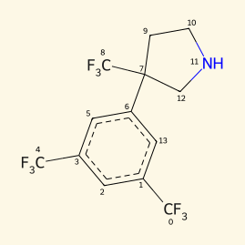 FC(F)(F)c1cc(C(F)(F)F)cc(C2(C(F)(F)F)CCNC2)c1